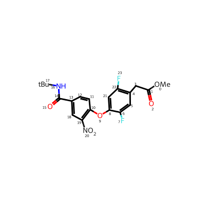 COC(=O)Cc1cc(F)c(Oc2ccc(C(=O)NC(C)(C)C)cc2[N+](=O)[O-])cc1F